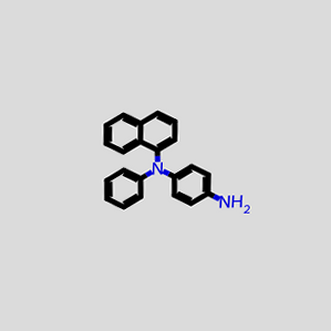 Nc1ccc(N(c2ccccc2)c2cccc3ccccc23)cc1